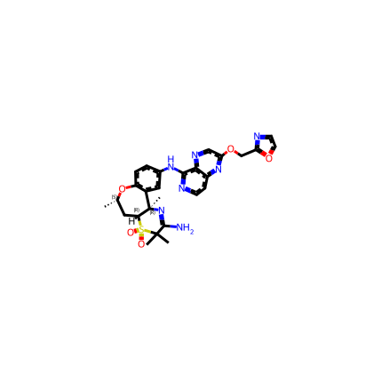 C[C@H]1C[C@@H]2[C@](C)(N=C(N)C(C)(C)S2(=O)=O)c2cc(Nc3nccc4nc(OCc5ncco5)cnc34)ccc2O1